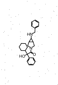 O=C(N1CC2C(C1)C2NCc1ccccc1)C(O)(c1ccccc1)C1CCCCC1